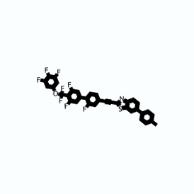 Cc1ccc(-c2ccc3nc(C#Cc4ccc(-c5cc(F)c(C(F)(F)Oc6cc(F)c(F)c(F)c6)c(F)c5)c(F)c4)sc3c2)cc1